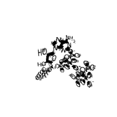 Nc1ncnc2c1ncn2[C@@H]1O[C@H](CO)[C@@H](O)[C@H]1O.O=P([O-])([O-])OP(=O)([O-])OP(=O)([O-])[O-].O=P([O-])([O-])OP(=O)([O-])OP(=O)([O-])[O-].[Cu+2].[Cu+2].[Cu+2].[Cu+2].[Cu+2]